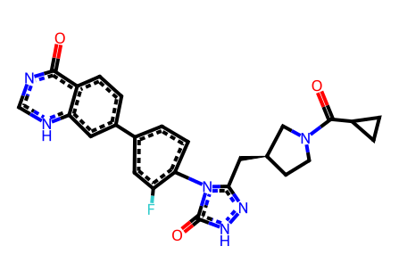 O=C(C1CC1)N1CC[C@@H](Cc2n[nH]c(=O)n2-c2ccc(-c3ccc4c(=O)nc[nH]c4c3)cc2F)C1